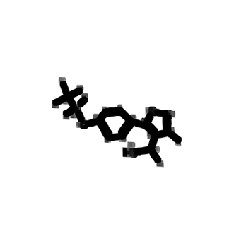 Cc1noc(-c2ccc(O[Si](C)(C)C(C)(C)C)cc2)c1C(C)O